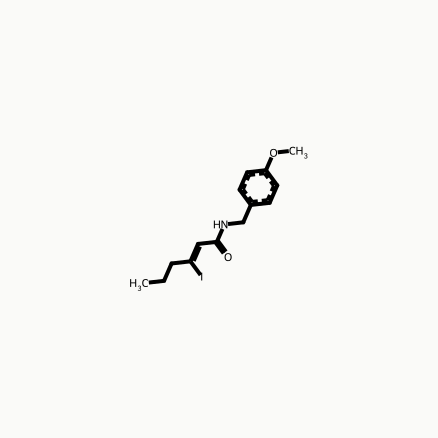 CCCC(I)=CC(=O)NCc1ccc(OC)cc1